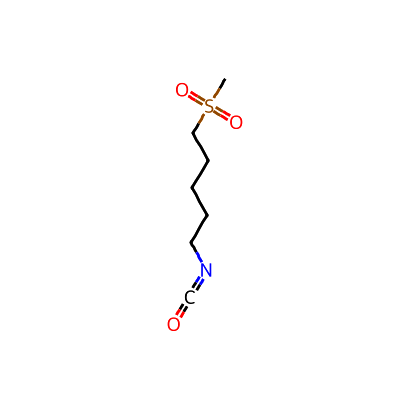 CS(=O)(=O)CCCCCN=C=O